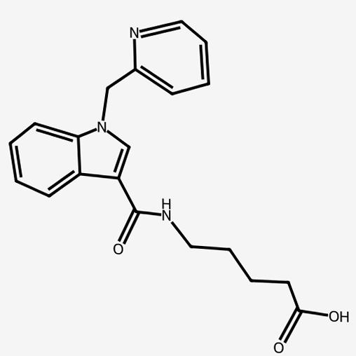 O=C(O)CCCCNC(=O)c1cn(Cc2ccccn2)c2ccccc12